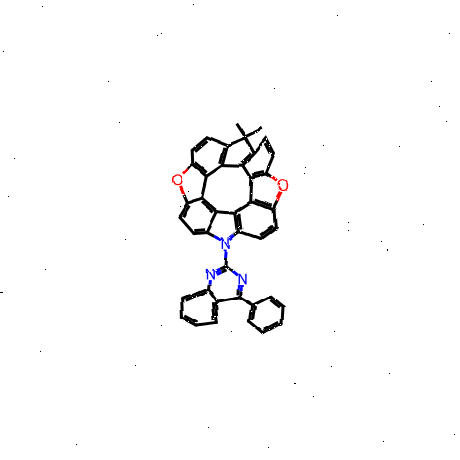 CC1(C)c2ccc3oc4ccc5c6c4c3c2c2c1ccc1oc3ccc(c6c3c12)n5-c1nc(-c2ccccc2)c2ccccc2n1